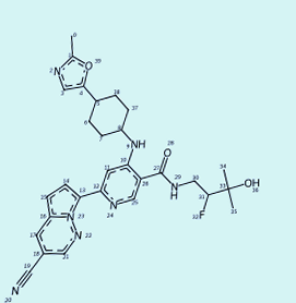 Cc1ncc(C2CCC(Nc3cc(-c4ccc5cc(C#N)cnn45)ncc3C(=O)NCC(F)C(C)(C)O)CC2)o1